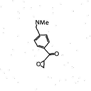 CNCc1ccc(C(=O)C2CO2)cc1